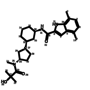 Cc1ccc(F)c2cc(C(=O)N[C@@H]3CCC[C@H](N4CC[C@H](N(C)C(=O)C(C)(C)O)C4)C3)[nH]c12